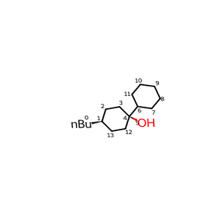 CCCC[C@H]1CC[C@](O)(C2CCCCC2)CC1